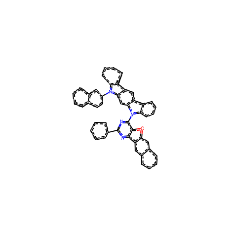 c1ccc(-c2nc(-n3c4ccccc4c4cc5c6ccccc6n(-c6ccc7ccccc7c6)c5cc43)c3oc4cc5ccccc5cc4c3n2)cc1